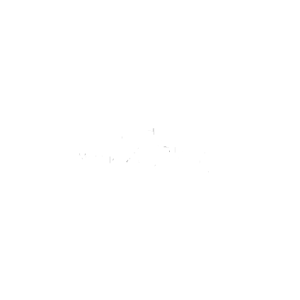 COC[C@@]1(O)CC[C@H]2[C@@H]3CCC4=C(CCC5(C4)OCCO5)C3=CC[C@@]21C